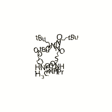 CC(C)[C@H](NC(=O)CSCCC(=O)N1CN(C(=O)CCC(C)(C)C)CN(C(=O)CCC(C)(C)C)C1)C(=O)N[C@@H](C)C(=O)Nc1ccc(COC(=O)C(C)(C)C)cc1